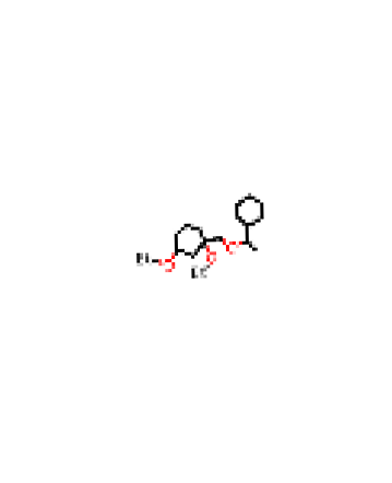 CCOC1CCCC(COC(C)C2CCCCC2)(OCC)C1